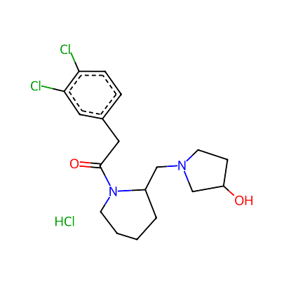 Cl.O=C(Cc1ccc(Cl)c(Cl)c1)N1CCCCC1CN1CCC(O)C1